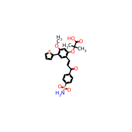 COc1cc(OC(C)(C)C(=O)O)c(/C=C/C(=O)c2ccc(S(N)(=O)=O)cc2)cc1-c1cccs1